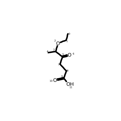 CCOC(C)C(=O)CCC(=O)O